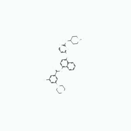 CC(=O)N1CCC(Nc2nccc(Oc3ccc(NC(=O)c4cc(F)cc(N5CCOCC5)c4)c4ccccc34)n2)CC1